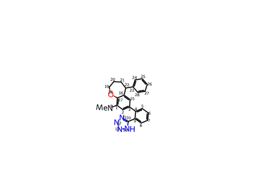 CNc1cc(-c2ccccc2-c2nnn[nH]2)cc2c1OCCCC2c1ccccc1